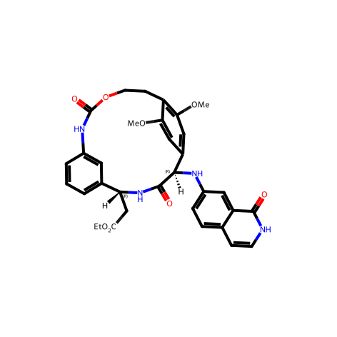 CCOC(=O)C[C@H]1NC(=O)[C@H](Nc2ccc3cc[nH]c(=O)c3c2)c2cc(OC)c(c(OC)c2)CCOC(=O)Nc2cccc1c2